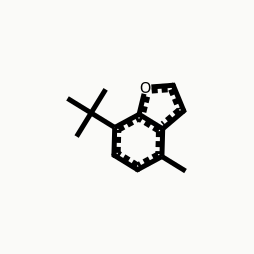 Cc1ccc(C(C)(C)C)c2occc12